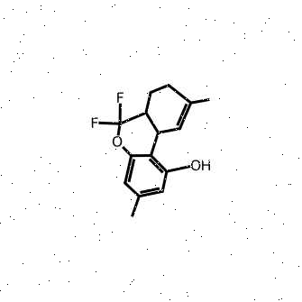 CC1=CC2c3c(O)cc(C)cc3OC(F)(F)C2CC1